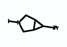 CC(C)C1C2CN(I)CC21